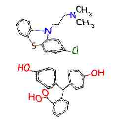 CN(C)CCCN1c2ccccc2Sc2ccc(Cl)cc21.O=C(O)c1ccccc1C(c1ccc(O)cc1)c1ccc(O)cc1